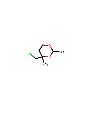 CC1(CCl)CCOC(C=O)O1